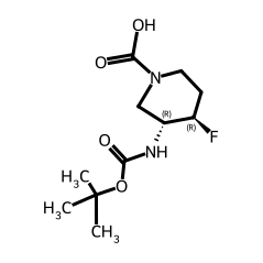 CC(C)(C)OC(=O)N[C@@H]1CN(C(=O)O)CC[C@H]1F